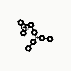 c1ccc(-c2ccc(N(c3ccc(-c4ccccc4)cc3)c3ccc(-c4cccc5c6c7ccccc7n7c8ccccc8n(c45)c67)cc3)cc2)cc1